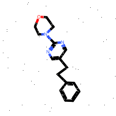 [c]1cccc(CCc2cnc(N3CCOCC3)nc2)c1